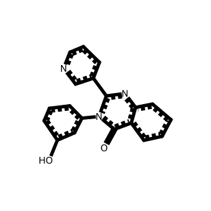 O=c1c2ccccc2nc(-c2cccnc2)n1-c1cccc(O)c1